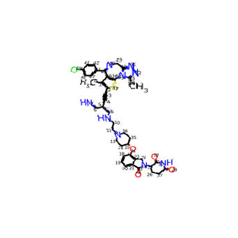 Cc1c(C#C/C(C=N)=C/NCCN2CCC(Oc3cccc4c3CN(C3CCC(=O)NC3=O)C4=O)CC2)sc2c1C(c1ccc(Cl)cc1)=NCc1nnc(C)n1-2